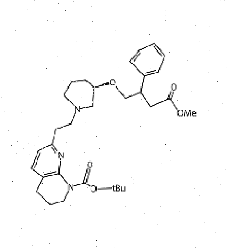 COC(=O)CC(CO[C@@H]1CCCN(CCc2ccc3c(n2)N(C(=O)OC(C)(C)C)CCC3)C1)c1ccccc1